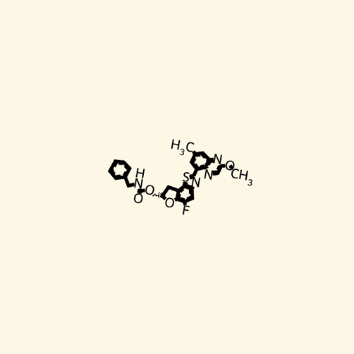 COc1cnc2c(-c3nc4cc(F)c5c(c4s3)C[C@@H](COC(=O)NCc3ccccc3)O5)cc(C)cc2n1